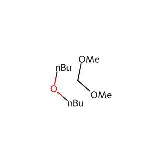 CCCCOCCCC.COCOC